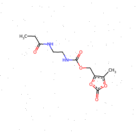 CCC(=O)NCCNC(=O)OCc1oc(=O)oc1C